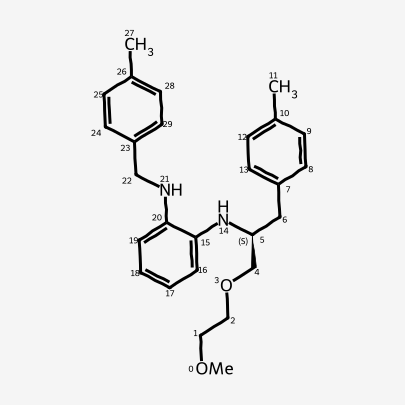 COCCOC[C@H](Cc1ccc(C)cc1)Nc1ccccc1NCc1ccc(C)cc1